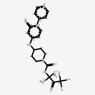 CC(C)(OC(=O)N1CCC(Oc2ccn(-c3ccncc3)c(=O)c2)CC1)C(=O)C(F)(F)F